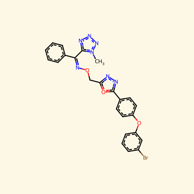 Cn1nnnc1/C(=N\OCc1nnc(-c2ccc(Oc3cccc(Br)c3)cc2)o1)c1ccccc1